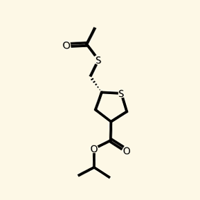 CC(=O)SC[C@H]1CC(C(=O)OC(C)C)CS1